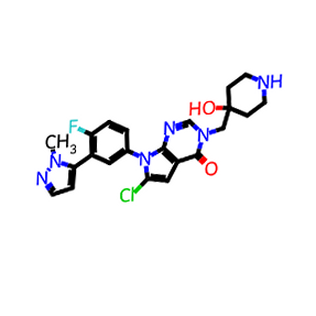 Cn1nccc1-c1cc(-n2c(Cl)cc3c(=O)n(CC4(O)CCNCC4)cnc32)ccc1F